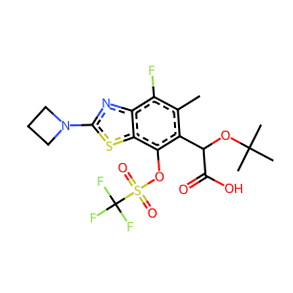 Cc1c(C(OC(C)(C)C)C(=O)O)c(OS(=O)(=O)C(F)(F)F)c2sc(N3CCC3)nc2c1F